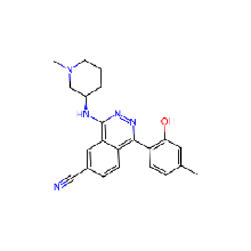 Cc1ccc(-c2nnc(N[C@@H]3CCCN(C)C3)c3cc(C#N)ccc23)c(O)c1